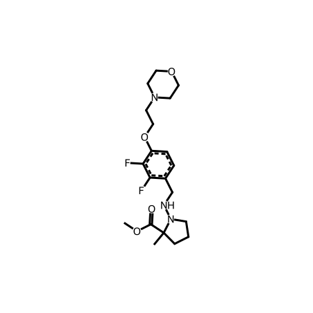 COC(=O)C1(C)CCCN1NCc1ccc(OCCN2CCOCC2)c(F)c1F